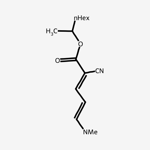 CCCCCCC(C)OC(=O)/C(C#N)=C/C=C/NC